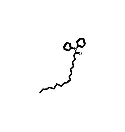 CCCCCCCC/C=C\CCCCCCCC(=O)N(c1ccccc1)c1ccccc1